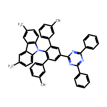 N#Cc1cccc(-c2cc(-c3nc(-c4ccccc4)nc(-c4ccccc4)n3)cc(-c3cccc(C#N)c3)c2-n2c3ccc(C(F)(F)F)cc3c3cc(C(F)(F)F)ccc32)c1